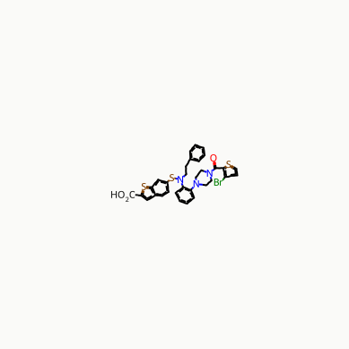 O=C(O)c1cc2ccc(SN(CCc3ccccc3)c3ccccc3N3CCN(C(=O)c4sccc4Br)CC3)cc2s1